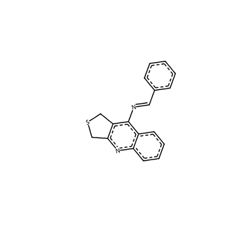 C(=Nc1c2c(nc3ccccc13)CSC2)c1ccccc1